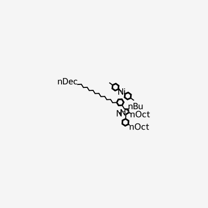 CCCCCCCCCCCCCCCCCCCCCCCc1cccc(C2=C(CCCC)C(CCCCCCCC)=C(c3cccc(CCCCCCCC)c3)[N+]2=[N-])c1.Cc1cc[c]([Ni][c]2ccc(C)cc2)cc1